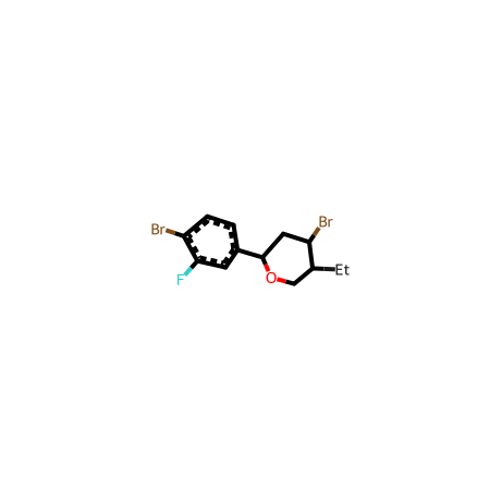 CCC1COC(c2ccc(Br)c(F)c2)CC1Br